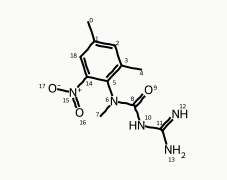 Cc1cc(C)c(N(C)C(=O)NC(=N)N)c([N+](=O)[O-])c1